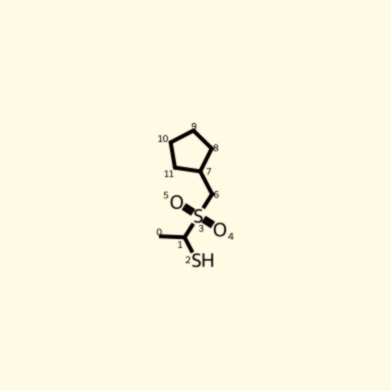 CC(S)S(=O)(=O)CC1CCCC1